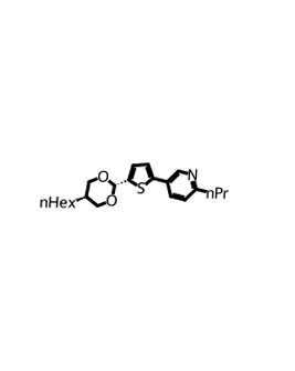 CCCCCC[C@H]1CO[C@H](c2ccc(-c3ccc(CCC)nc3)s2)OC1